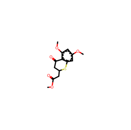 COC(=O)CC1CC(=O)c2c(OC)cc(OC)cc2S1